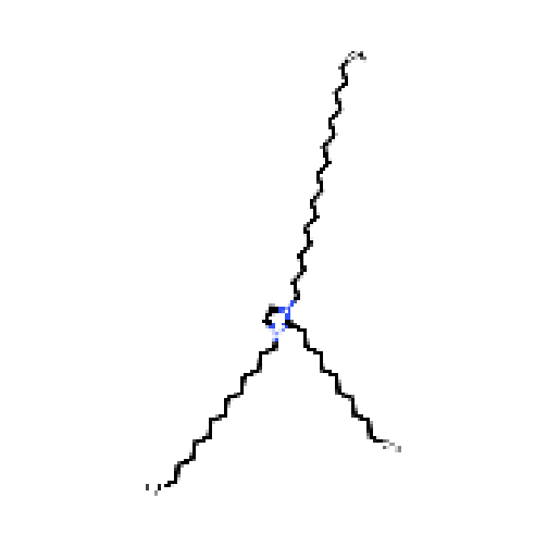 CCCCCCCCCCCCCCCCCCCn1cc[n+](CCCCCCCCCCCCCC)c1CCCCCCCCCCC